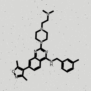 Cc1cccc(CNc2nc(N3CCN(CCN(C)C)CC3)nc3cc(-c4c(C)noc4C)ccc23)c1